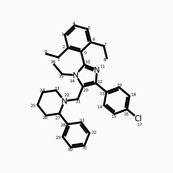 CCc1cccc(CC)c1-c1nc(-c2ccc(Cl)cc2)c(CN2CCCCC2c2ccccc2)n1CC